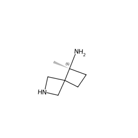 C[C@]1(N)CCC12CNC2